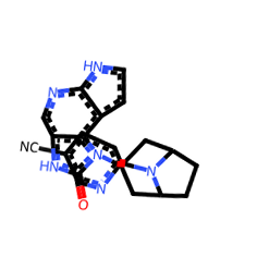 N#Cc1ccc(N2C3CCC2CC(n2c(=O)[nH]c4cnc5[nH]ccc5c42)C3)nc1